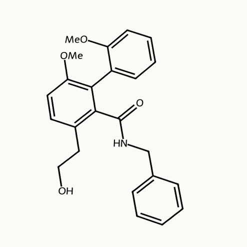 COc1ccccc1-c1c(OC)ccc(CCO)c1C(=O)NCc1ccccc1